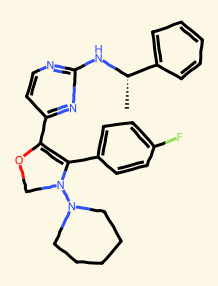 C[C@H](Nc1nccc(C2=C(c3ccc(F)cc3)N(N3CCCCC3)CO2)n1)c1ccccc1